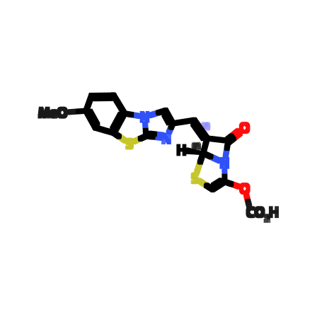 COc1ccc2c(c1)sc1nc(/C=C3/C(=O)N4C(OC(=O)O)=CS[C@H]34)cn12